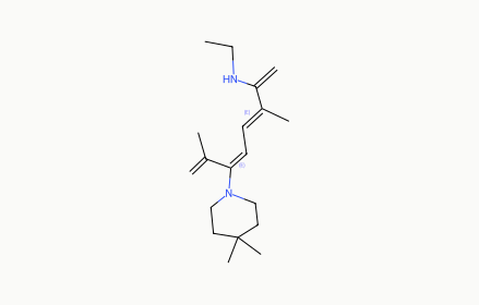 C=C(NCC)/C(C)=C/C=C(\C(=C)C)N1CCC(C)(C)CC1